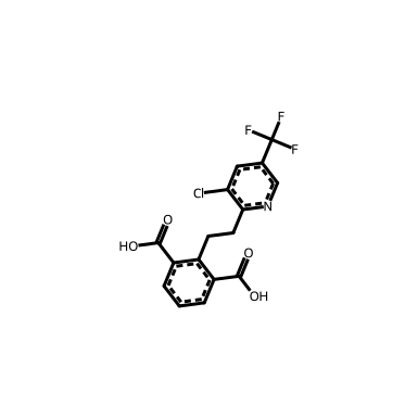 O=C(O)c1cccc(C(=O)O)c1CCc1ncc(C(F)(F)F)cc1Cl